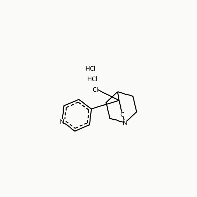 Cl.Cl.ClC1(c2ccncc2)CN2CCC1CC2